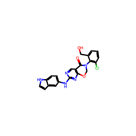 O=C1c2cnc(Nc3ccc4[nH]ccc4c3)nc2OCN1c1c(Cl)cccc1CO